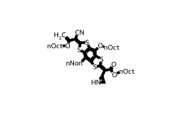 C=C(OCCCCCCCC)/C(C#N)=C1\Sc2c(CCCCCCCCC)c3c(c(OCCCCCCCC)c2S1)S/C(=C(\C(=O)OCCCCCCCC)C1CN1)S3